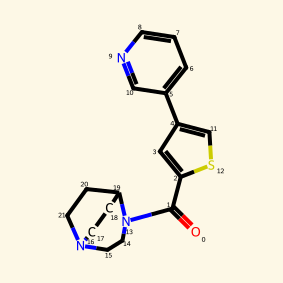 O=C(c1cc(-c2cccnc2)cs1)N1CCN2CCC1CC2